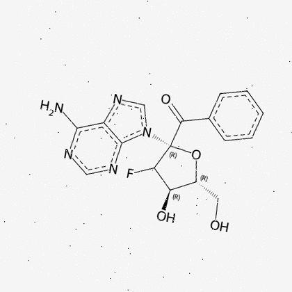 Nc1ncnc2c1ncn2[C@]1(C(=O)c2ccccc2)O[C@H](CO)[C@@H](O)C1F